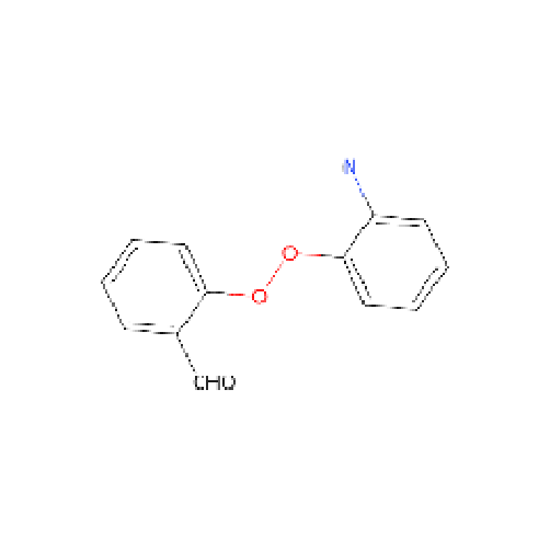 [N]c1ccccc1OOc1ccccc1C=O